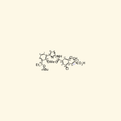 CCCCO[C@H](CC)c1cccc(-c2csc(NC(=O)c3cc(Cl)c(/C=C(\C)C(=O)O)c(Cl)c3)n2)c1OC